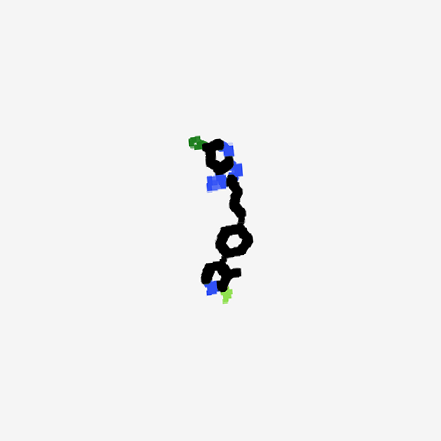 Cc1c(F)nccc1[C@H]1CC[C@@H](CCCc2nc3ncc(Cl)cc3[nH]2)CC1